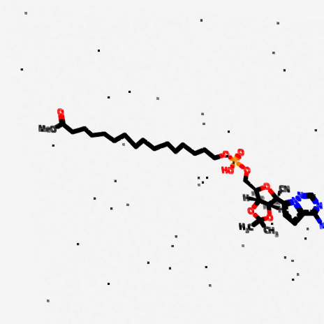 COC(=O)CCCCCCCCCCCCCCCOP(=O)(O)OC[C@H]1O[C@@](C#N)(c2ccc3c(N)ncnn23)[C@@H]2OC(C)(C)O[C@@H]21